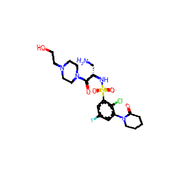 NC[C@H](NS(=O)(=O)c1cc(F)cc(N2CCCCC2=O)c1Cl)C(=O)N1CCN(CCO)CC1